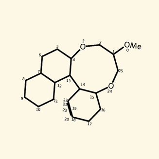 COC1COC2CCC3CCCCC3C2C2C(CCC3CCCCC32)OC1